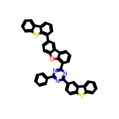 c1ccc(-c2nc(-c3ccc4sc5ccccc5c4c3)nc(-c3cccc4c3oc3ccc(-c5cccc6c5sc5ccccc56)cc34)n2)cc1